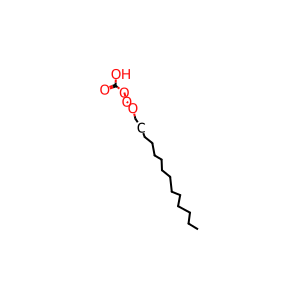 CCCCCCCCCCCCCCOOOC(=O)O